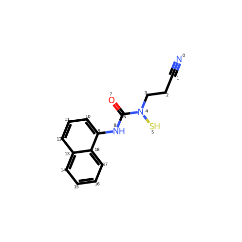 N#CCCN(S)C(=O)Nc1cccc2ccccc12